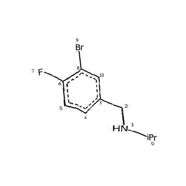 CC(C)NCc1ccc(F)c(Br)c1